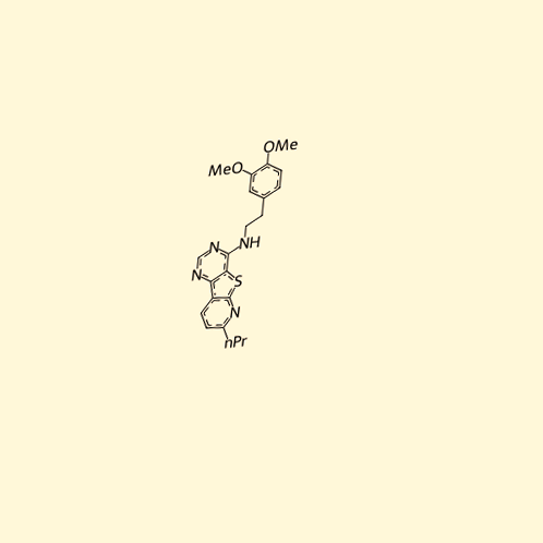 CCCc1ccc2c(n1)sc1c(NCCc3ccc(OC)c(OC)c3)ncnc12